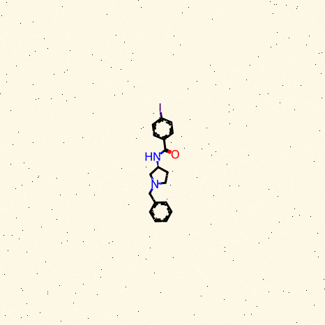 O=C(N[C@H]1CCN(Cc2ccccc2)C1)c1ccc(I)cc1